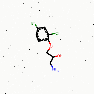 NCC(O)COc1ccc(Br)cc1Cl